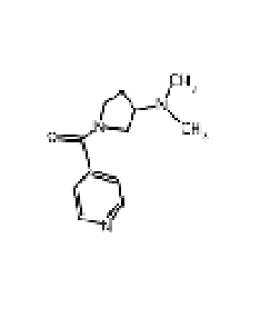 CN(C)C1CCN(C(=O)c2ccncc2)C1